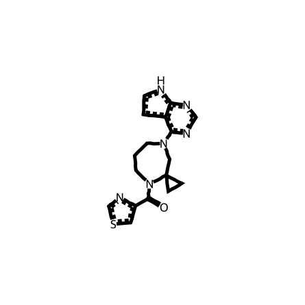 O=C(c1cscn1)N1CCCN(c2ncnc3[nH]ccc23)CC12CC2